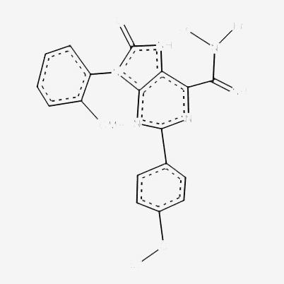 CCOc1ccc(-c2nc(C(=N)N(CC)CC)c3[nH]c(=O)n(-c4ccccc4OC)c3n2)cc1